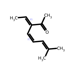 C/C=C(\C=C/C=C(C)C)C(C)=O